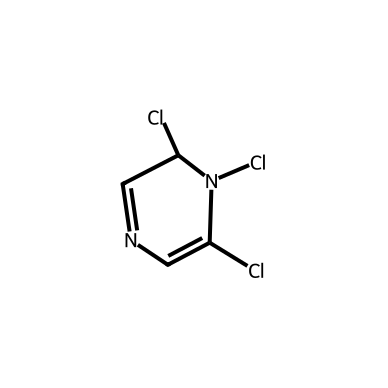 ClC1=CN=CC(Cl)N1Cl